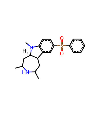 CC1CC2c3cc(S(=O)(=O)c4ccccc4)ccc3N(C)[C@@H]2CC(C)N1